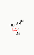 O.[Fe].[LiH].[Ni].[Ni]